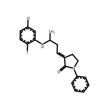 CC(C/C=C1\CCN(c2ccccc2)C1=O)Nc1cc(Cl)ccc1I